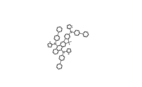 CC1(C)c2cc(N(c3ccc(-c4ccccc4)cc3)c3cccs3)ccc2-c2cc3c(N(c4ccc(-c5ccccc5)cc4)c4cccs4)c4ccccc4c(N(c4ccc(-c5ccccc5)cc4)c4cccs4)c3cc21